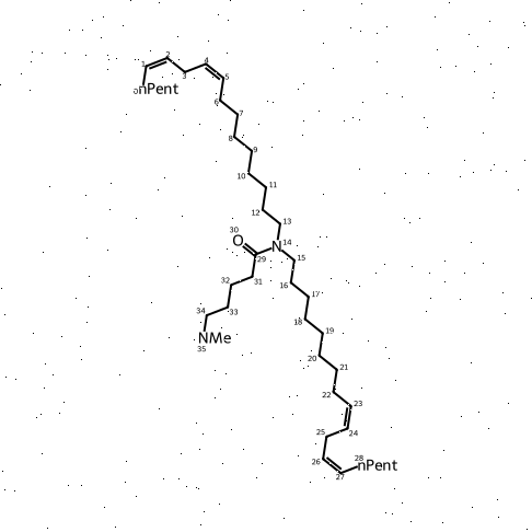 CCCCC/C=C\C/C=C\CCCCCCCCN(CCCCCCCC/C=C\C/C=C\CCCCC)C(=O)CCCCNC